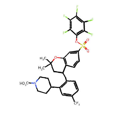 CC1(C)CC(c2ccc(C(F)(F)F)cc2C2CCN(C(=O)O)CC2)c2ccc(S(=O)(=O)Oc3c(F)c(F)c(F)c(F)c3F)cc2O1